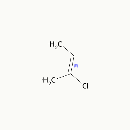 [CH2]/C=C(\[CH2])Cl